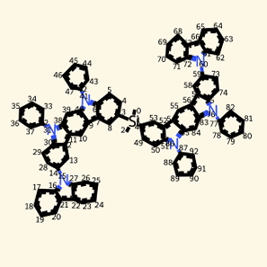 C[Si](C)(c1ccc2c(c1)c1cc3c4cc(-n5c6ccccc6c6ccccc65)ccc4n(-c4ccccc4)c3cc1n2-c1ccccc1)c1ccc2c(c1)c1cc3c4cc(-n5c6ccccc6c6ccccc65)ccc4n(-c4ccccc4)c3cc1n2-c1ccccc1